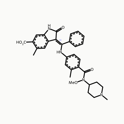 CON(C(=O)c1ccc(N/C(=C2/C(=O)Nc3cc(C(=O)O)c(C)cc32)c2ccccc2)cc1C)C1CCN(C)CC1